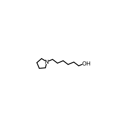 OCCCCCCN1CCCC1